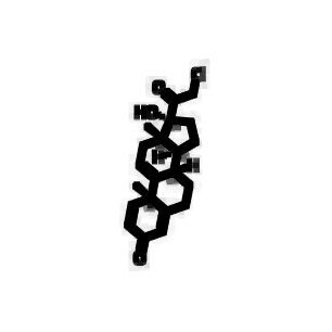 C[C@]12C=CC(=O)C=C1CC[C@@H]1C2=CC[C@@]2(C)[C@H]1CC[C@]2(O)C(=O)CCl